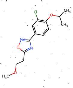 COCCc1nc(-c2ccc(OC(C)C)c(Cl)c2)no1